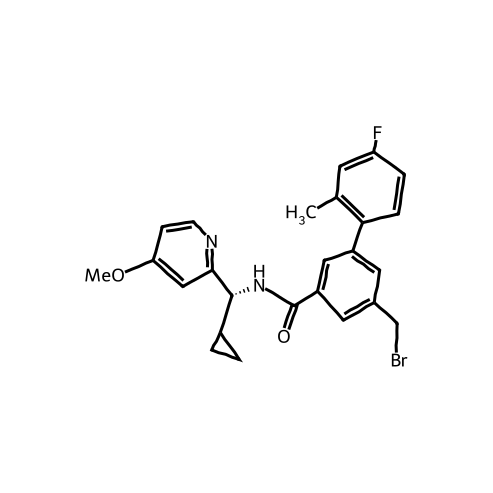 COc1ccnc([C@H](NC(=O)c2cc(CBr)cc(-c3ccc(F)cc3C)c2)C2CC2)c1